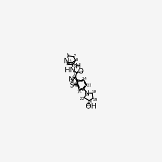 O=C(N[C@H]1CN2CCC1CC2)c1nsc2cc(N3CC[C@H](O)C3)ccc12